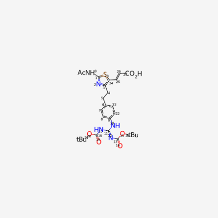 CC(=O)Nc1nc(CCc2ccc(NC(=NC(=O)OC(C)(C)C)NC(=O)OC(C)(C)C)cc2)c(C=CC(=O)O)s1